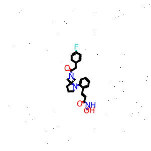 O=C(/C=C/c1ccccc1N1CCCC12CN(C(=O)CC1C=CC(F)=CC1)C2)NO